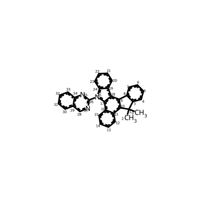 CC1(C)c2ccccc2-c2c1c1ccccc1c1c2c2ccccc2n1-c1ncc2ccccc2n1